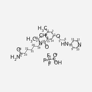 Cc1cc(OCCNc2ccncc2)cc(C(=O)N(CCCCCC(N)=O)C(C)C)c1.O=C(O)C(F)(F)F